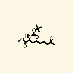 COC(=O)C(CCCCCC(C)=O)NC(=O)OC(C)(C)C